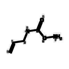 C=CC[N]C(=O)ON